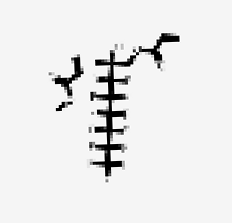 C=CC(=O)OC.C=CC(=O)OCC(C)(O)C(F)(F)C(F)(F)C(F)(F)C(F)(F)C(F)(F)C(F)(F)F